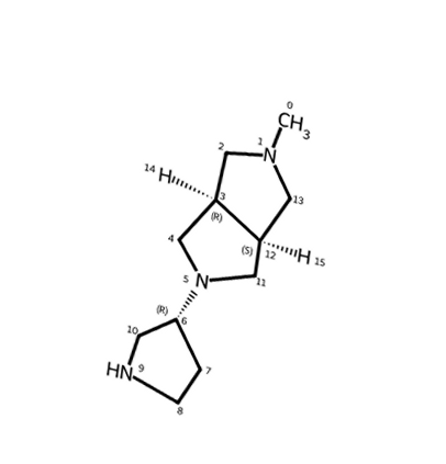 CN1C[C@@H]2CN([C@@H]3CCNC3)C[C@@H]2C1